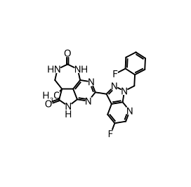 CC12CNC(=O)Nc3nc(-c4nn(Cc5ccccc5F)c5ncc(F)cc45)nc(c31)NC2=O